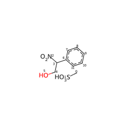 CS(=O)(=O)O.O=[N+]([O-])C(CO)c1ccccc1